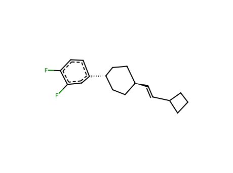 Fc1ccc([C@H]2CC[C@H](C=CC3CCC3)CC2)cc1F